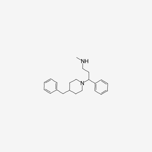 CNCCC(c1ccccc1)N1CCC(Cc2ccccc2)CC1